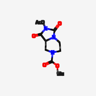 CC(=O)ON1C(=O)C2CN(C(=O)OC(C)(C)C)CCN2C1=O